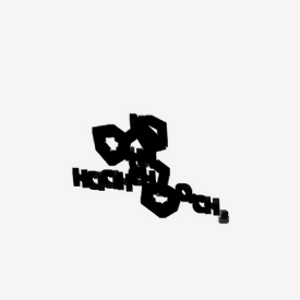 COc1ccccc1CNC1C2CCN(CC2)C1c1ccccc1OC.Cl.Cl